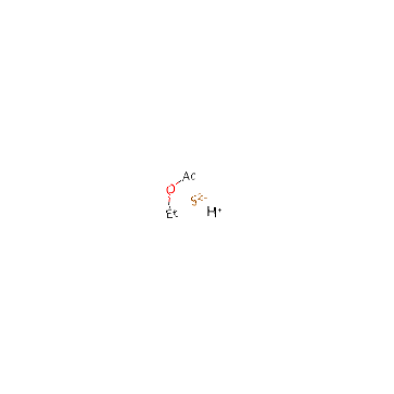 CCOC(C)=O.[H+].[S-2]